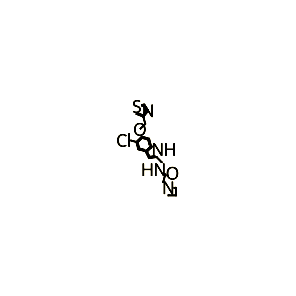 O=C(CN1CCC1)NCc1cc2cc(Cl)c(OCc3cscn3)cc2[nH]1